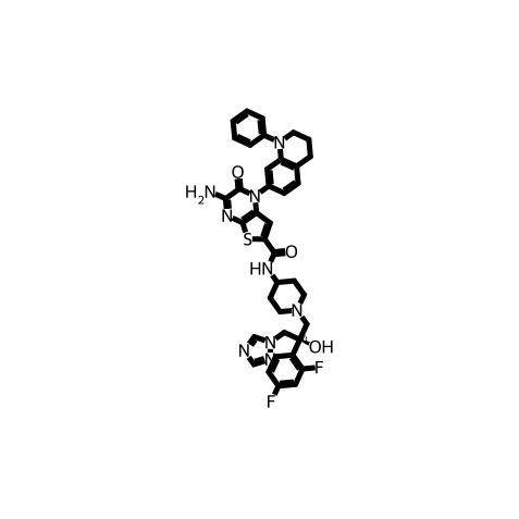 Nc1nc2sc(C(=O)NC3CCN(C[C@@](O)(Cn4cncn4)c4ccc(F)cc4F)CC3)cc2n(-c2ccc3c(c2)N(c2ccccc2)CCC3)c1=O